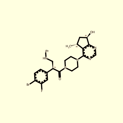 CC(C)NC[C@@H](C(=O)N1CCN(c2ncnc3c2[C@H](C)C[C@H]3O)CC1)c1ccc(Br)c(F)c1